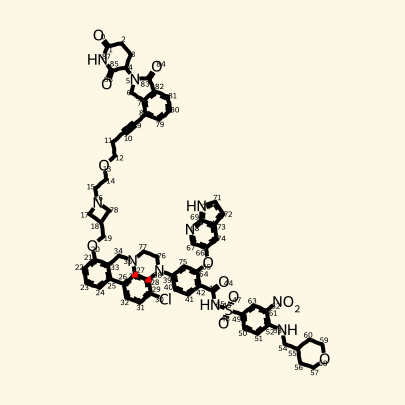 O=C1CCC(N2Cc3c(C#CCCOCCN4CC(COc5cccc(-c6ccc(Cl)cc6)c5CN5CCN(c6ccc(C(=O)NS(=O)(=O)c7ccc(NCC8CCOCC8)c([N+](=O)[O-])c7)c(Oc7cnc8[nH]ccc8c7)c6)CC5)C4)cccc3C2=O)C(=O)N1